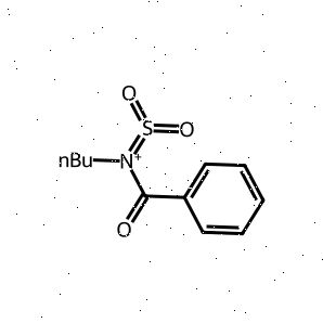 CCCC[N+](C(=O)c1ccccc1)=S(=O)=O